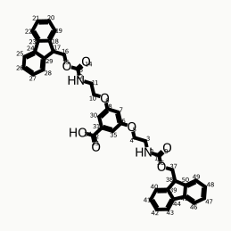 O=C(NCCOc1cc(OCCNC(=O)OCC2c3ccccc3-c3ccccc32)cc(C(=O)O)c1)OCC1c2ccccc2-c2ccccc21